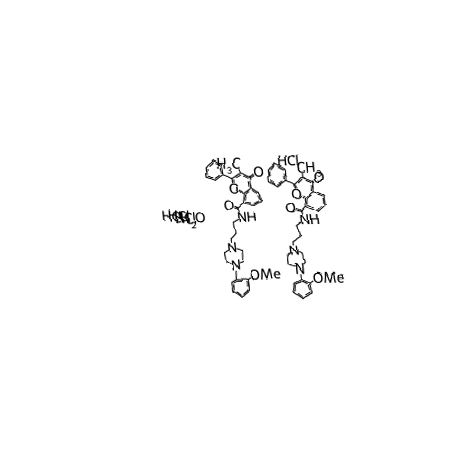 COc1ccccc1N1CCN(CCCNC(=O)c2cccc3c(=O)c(C)c(-c4ccccc4)oc23)CC1.COc1ccccc1N1CCN(CCCNC(=O)c2cccc3c(=O)c(C)c(-c4ccccc4)oc23)CC1.Cl.Cl.Cl.Cl.O